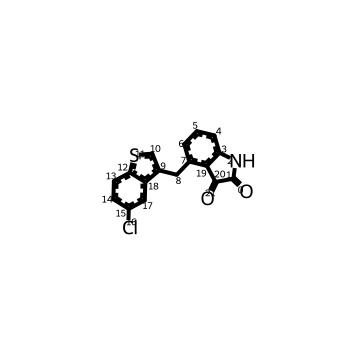 O=C1Nc2cccc(Cc3csc4ccc(Cl)cc34)c2C1=O